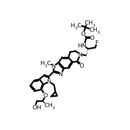 C[C@@H](CO)Oc1cccc2cc(-c3nc4cc5c(cc4n3C)CCN(C[C@@H](CF)NC(=O)OC(C)(C)C)C5=O)n(CC3CC3)c12